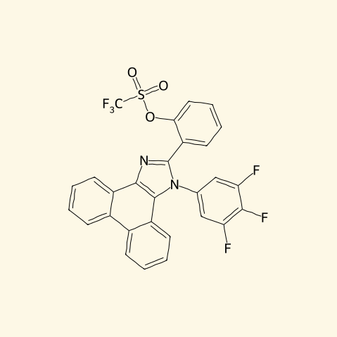 O=S(=O)(Oc1ccccc1-c1nc2c3ccccc3c3ccccc3c2n1-c1cc(F)c(F)c(F)c1)C(F)(F)F